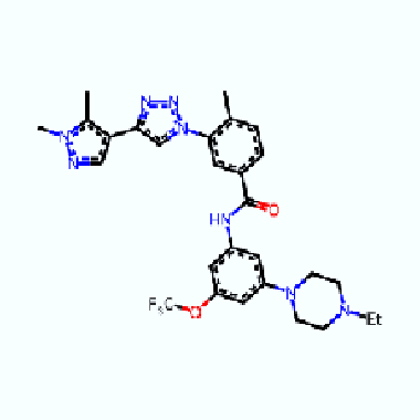 CCN1CCN(c2cc(NC(=O)c3ccc(C)c(-n4cc(-c5cnn(C)c5C)nn4)c3)cc(OC(F)(F)F)c2)CC1